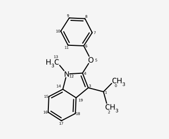 CC(C)c1c(Oc2ccccc2)n(C)c2ccccc12